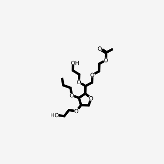 CCCOC1C(OCCO)COC1C(COCCOC(C)=O)OCCO